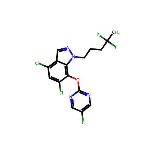 CC(F)(F)CCCn1ncc2c(Cl)cc(Cl)c(Oc3ncc(Cl)cn3)c21